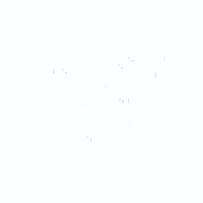 NCc1cccc(-n2nc(C(F)(F)F)cc2C(=O)Nc2cc([C@](O)(CCC3CC3)c3ccccn3)ccc2F)c1